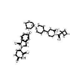 CC1(C(=O)N2CCC(C3CCN([C@H]4CCCC[C@H]4Oc4ccc5c(c4)CN(C4CCC(=O)NC4=O)C5=O)CC3)CC2)CCC1